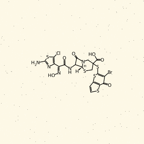 Nc1nc(C(=NO)C(=O)NC2C(=O)N3CC(Sc4sc5ccsc5c(=O)c4Br)(C(=O)O)CS[C@H]23)c(Cl)s1